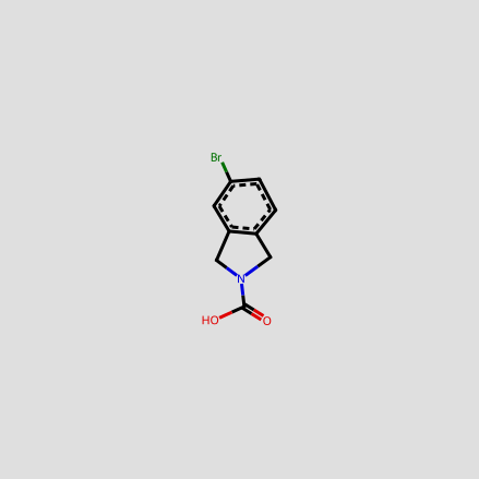 O=C(O)N1Cc2ccc(Br)cc2C1